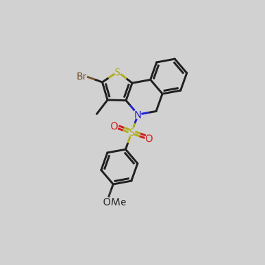 COc1ccc(S(=O)(=O)N2Cc3ccccc3-c3sc(Br)c(C)c32)cc1